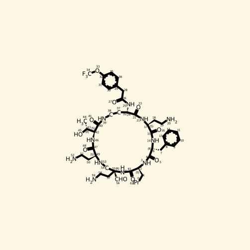 CC(C)C[C@@H]1NC(=O)[C@@H](Cc2ccccc2)NC(=O)[C@H](CCN)NC(=O)[C@@H](NC(=O)Cc2ccc(OC(F)(F)F)cc2)CCNC(=O)[C@H]([C@@H](C)O)NC(=O)[C@H](CCN)NC[C@@](C=O)(CCN)NC1=O